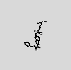 COC(=O)CCCNC(=O)Cc1ccc2c(c1)CC(NC(=O)OCc1ccccc1)C2